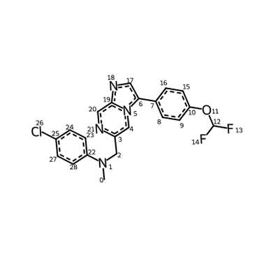 CN(Cc1cn2c(-c3ccc(OC(F)F)cc3)cnc2cn1)c1ccc(Cl)cc1